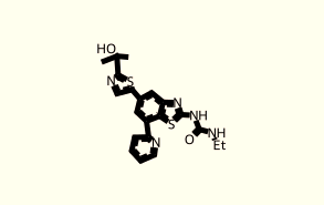 CCNC(=O)Nc1nc2cc(-c3cnc(C(C)(C)O)s3)cc(-c3ccccn3)c2s1